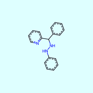 c1ccc(NNC(c2ccccc2)c2ccccn2)cc1